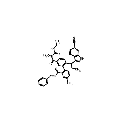 CCNC(=O)N(C)C(=O)c1ccc(C(CC)c2c[nH]c3cc(C#N)ccc23)c(-c2ccc(C)cc2C(=O)OCc2ccccc2)c1